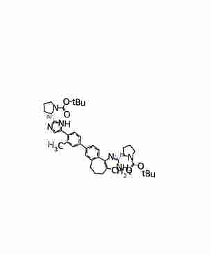 CC1=C(/N=C(\N)[C@@H]2CCCN2C(=O)OC(C)(C)C)c2ccc(-c3ccc(-c4cnc([C@@H]5CCCN5C(=O)OC(C)(C)C)[nH]4)c(C)c3)cc2CCC1